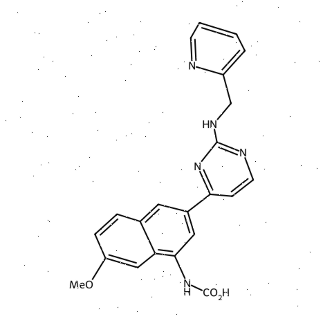 COc1ccc2cc(-c3ccnc(NCc4ccccn4)n3)cc(NC(=O)O)c2c1